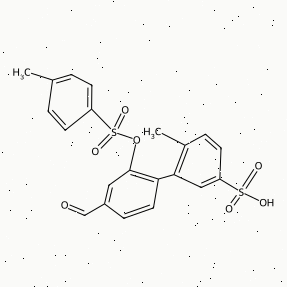 Cc1ccc(S(=O)(=O)Oc2cc(C=O)ccc2-c2cc(S(=O)(=O)O)ccc2C)cc1